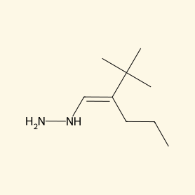 CCC/C(=C\NN)C(C)(C)C